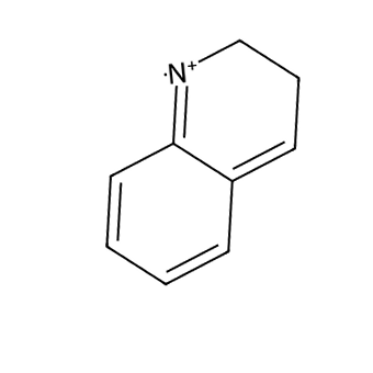 C1=c2ccccc2=[N+]CC1